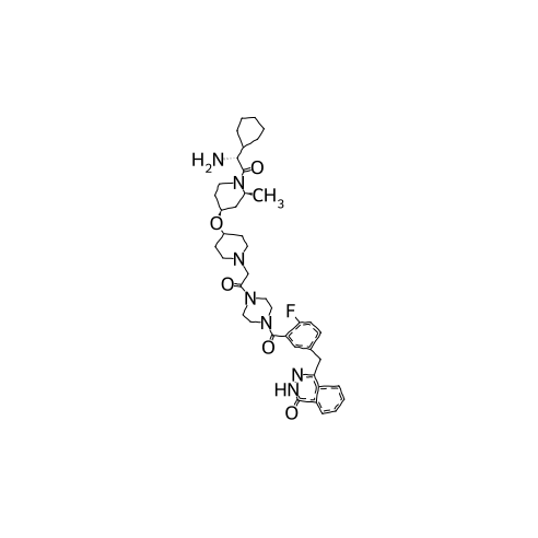 C[C@H]1C[C@@H](OC2CCN(CC(=O)N3CCN(C(=O)c4cc(Cc5n[nH]c(=O)c6ccccc56)ccc4F)CC3)CC2)CCN1C(=O)[C@H](N)C1CCCCC1